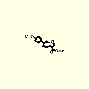 COC(=O)c1cnn2cc(-c3ccc(OC)cc3)ccc12